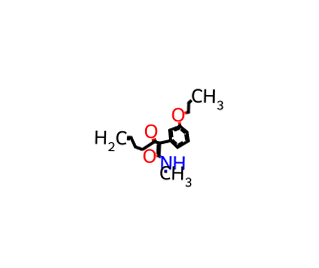 C=CCC1OC(NC)=C(c2cccc(OCCC)c2)C1=O